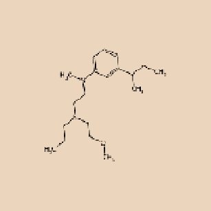 CCCN(CCOC)CCN(C)c1cccc(C(C)CC)c1